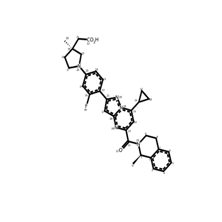 C[C@@H]1c2ccccc2CCN1C(=O)c1cc(C2CC2)n2nc(-c3ccc(N4CC[C@@](C)(CC(=O)O)C4)cc3F)cc2n1